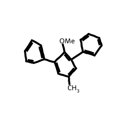 COc1c(-c2ccccc2)cc(C)cc1-c1ccccc1